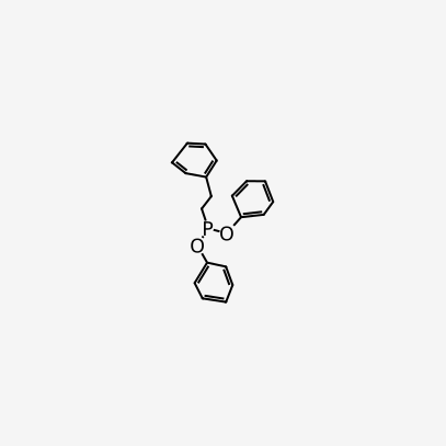 c1ccc(CCP(Oc2ccccc2)Oc2ccccc2)cc1